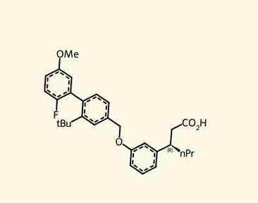 CCC[C@H](CC(=O)O)c1cccc(OCc2ccc(-c3cc(OC)ccc3F)c(C(C)(C)C)c2)c1